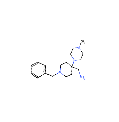 CN1CCN(C2(CN)CCN(Cc3ccccc3)CC2)CC1